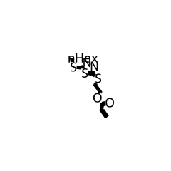 C=CC(=O)OCCSc1nnc(SCCCCCC)s1